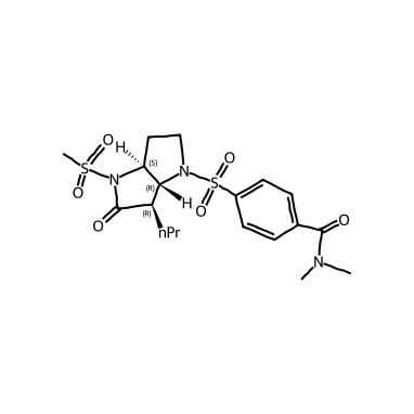 CCC[C@H]1C(=O)N(S(C)(=O)=O)[C@H]2CCN(S(=O)(=O)c3ccc(C(=O)N(C)C)cc3)[C@H]12